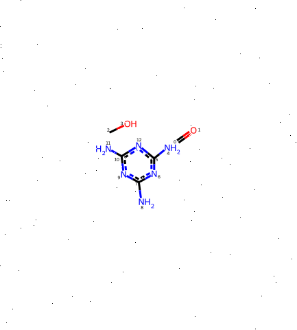 C=O.CO.Nc1nc(N)nc(N)n1